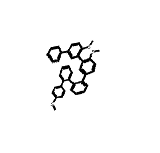 CSc1ccc(-c2ccccc2-c2ccccc2-c2ccc(SC)c(-c3cc(-c4ccccc4)ccc3SC)c2)cc1